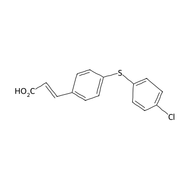 O=C(O)/C=C/c1ccc(Sc2ccc(Cl)cc2)cc1